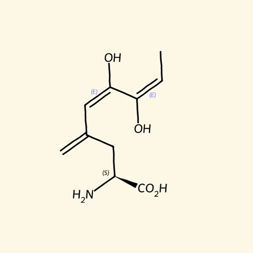 C=C(/C=C(O)\C(O)=C/C)C[C@H](N)C(=O)O